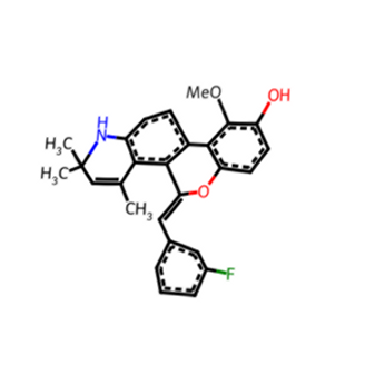 COc1c(O)ccc2c1-c1ccc3c(c1C(=Cc1cccc(F)c1)O2)C(C)=CC(C)(C)N3